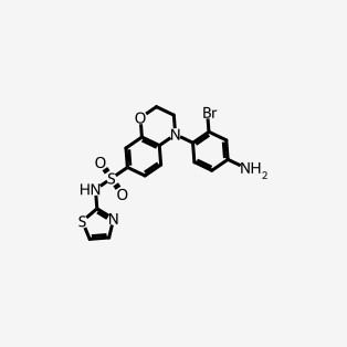 Nc1ccc(N2CCOc3cc(S(=O)(=O)Nc4nccs4)ccc32)c(Br)c1